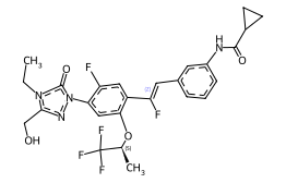 CCn1c(CO)nn(-c2cc(O[C@@H](C)C(F)(F)F)c(/C(F)=C/c3cccc(NC(=O)C4CC4)c3)cc2F)c1=O